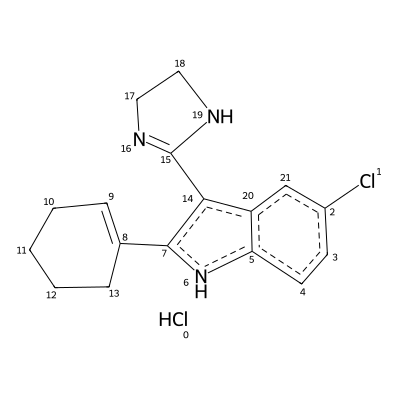 Cl.Clc1ccc2[nH]c(C3=CCCCC3)c(C3=NCCN3)c2c1